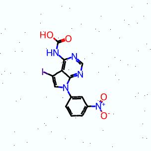 O=C(O)Nc1ncnc2c1c(I)cn2-c1cccc([N+](=O)[O-])c1